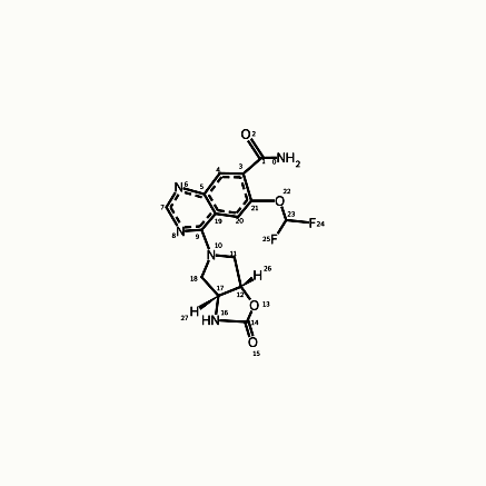 NC(=O)c1cc2ncnc(N3C[C@@H]4OC(=O)N[C@@H]4C3)c2cc1OC(F)F